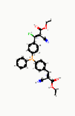 CCOC(=O)/C(C#N)=C(\Cl)c1ccc(P(c2ccccc2)c2ccc(/C=C(\C#N)C(=O)OCC)cc2)cc1